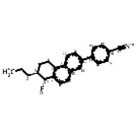 CCC[C@H]1CCc2c(ccc3cc(-c4ccc(C#N)cc4)ccc23)[C@@H]1F